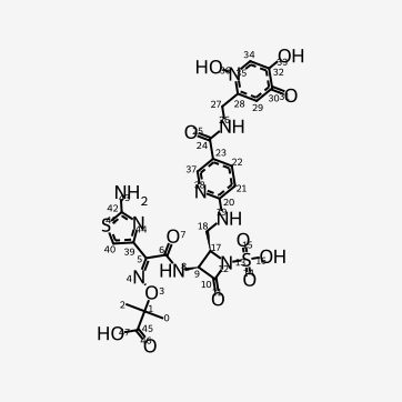 CC(C)(O/N=C(\C(=O)N[C@@H]1C(=O)N(S(=O)(=O)O)[C@@H]1CNc1ccc(C(=O)NCc2cc(=O)c(O)cn2O)cn1)c1csc(N)n1)C(=O)O